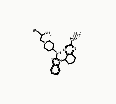 CC(C)C(N)CN1CCC(Nc2nc3ccccc3n2C2CCCc3nc(Cl)cnc32)CC1.O.O.O